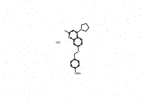 COc1ccc(COc2ccc3c(N4CCCC4)cc(C)nc3c2)cc1.Cl